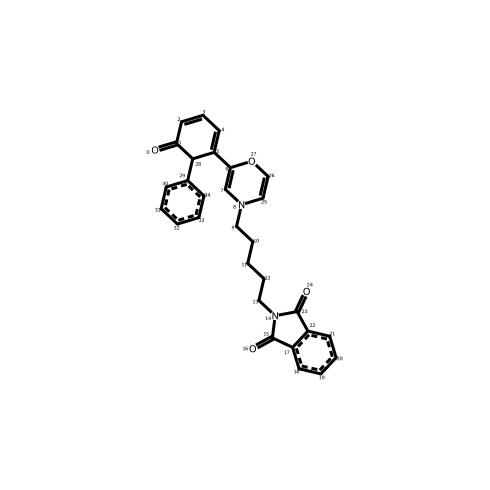 O=C1C=CC=C(C2=CN(CCCCCN3C(=O)c4ccccc4C3=O)C=CO2)C1c1ccccc1